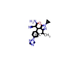 CC(C)c1nn(C2CC2)c2c1C(c1ccc(-n3cncn3)cc1)C(C#N)=C(N)O2